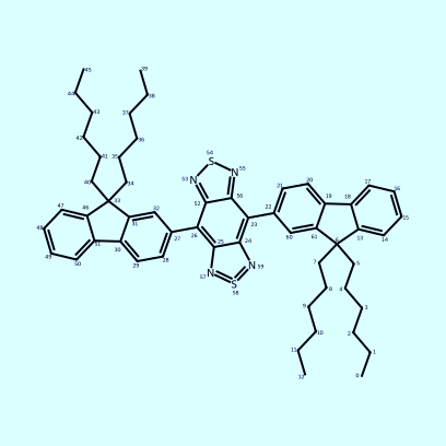 CCCCCCC1(CCCCCC)c2ccccc2-c2ccc(-c3c4c(c(-c5ccc6c(c5)C(CCCCCC)(CCCCCC)c5ccccc5-6)c5nsnc35)N=S=N4)cc21